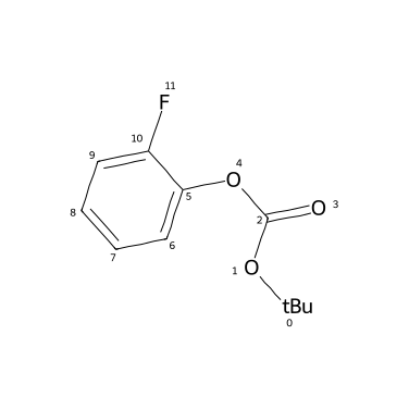 CC(C)(C)OC(=O)Oc1ccccc1F